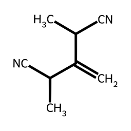 C=C(C(C)C#N)C(C)C#N